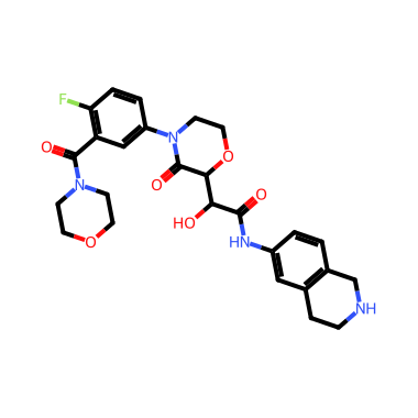 O=C(Nc1ccc2c(c1)CCNC2)C(O)C1OCCN(c2ccc(F)c(C(=O)N3CCOCC3)c2)C1=O